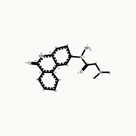 CN(C)CC(=O)N(N)c1ccc2[nH]c(=O)c3ccccc3c2c1